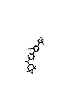 CN(c1ncc(-c2ccc(-c3c[nH]nc3Cl)cc2O)nn1)C1CC(C)(C)NC(C)(C)C1